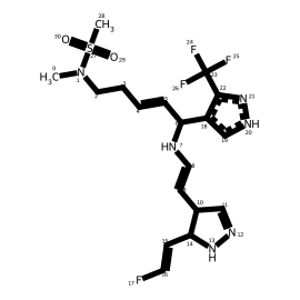 CN(CC/C=C/C(N/C=C/C1C=NNC1/C=C/F)c1c[nH]nc1C(F)(F)F)S(C)(=O)=O